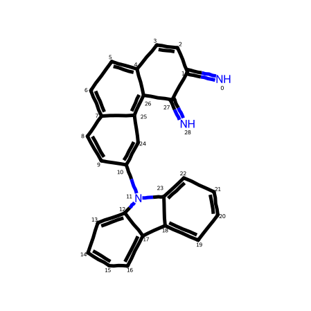 N=C1C=Cc2ccc3ccc(-n4c5ccccc5c5ccccc54)cc3c2C1=N